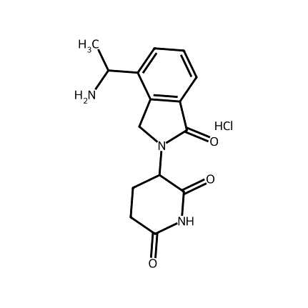 CC(N)c1cccc2c1CN(C1CCC(=O)NC1=O)C2=O.Cl